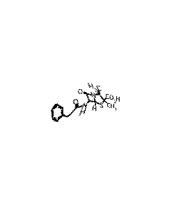 C=C1N2C(=O)C(NC(=O)Cc3ccccc3)[C@H]2SC1(C)C(=O)O